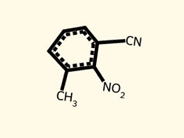 Cc1cccc(C#N)c1[N+](=O)[O-]